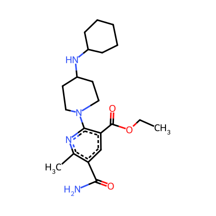 CCOC(=O)c1cc(C(N)=O)c(C)nc1N1CCC(NC2CCCCC2)CC1